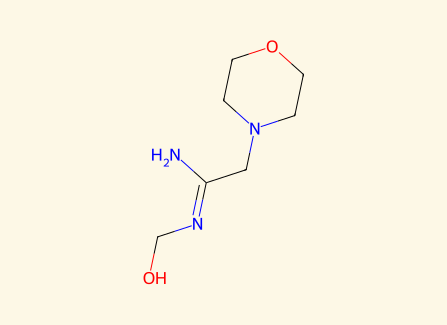 N/C(CN1CCOCC1)=N\CO